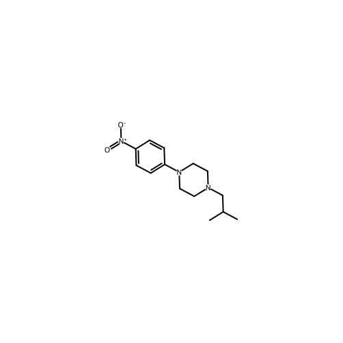 CC(C)CN1CCN(c2ccc([N+](=O)[O-])cc2)CC1